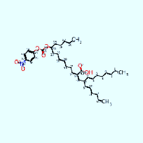 CCCCCCCCC(CCCCCC)CC(CCCCCCCC(CCCCC)OC(=O)Oc1ccc([N+](=O)[O-])cc1)C(=O)O